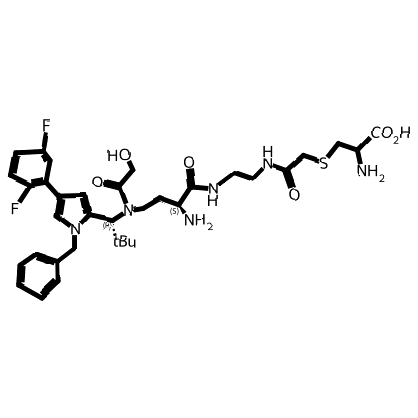 CC(C)(C)[C@H](c1cc(-c2cc(F)ccc2F)cn1Cc1ccccc1)N(CC[C@H](N)C(=O)NCCNC(=O)CSCC(N)C(=O)O)C(=O)CO